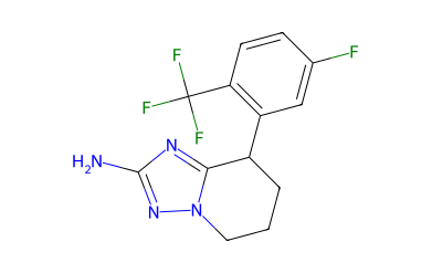 Nc1nc2n(n1)CCCC2c1cc(F)ccc1C(F)(F)F